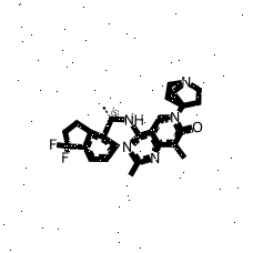 Cc1nc(N[C@@H](C)c2cccc3c2CCC3(F)F)c2cn(C34CCN(CC3)C4)c(=O)c(C)c2n1